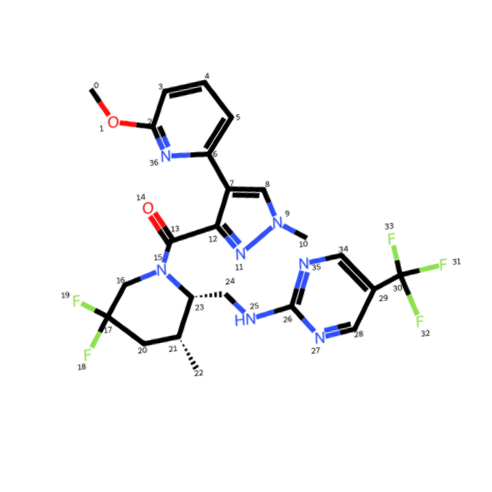 COc1cccc(-c2cn(C)nc2C(=O)N2CC(F)(F)C[C@@H](C)[C@H]2CNc2ncc(C(F)(F)F)cn2)n1